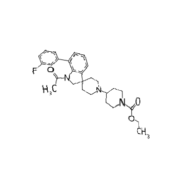 CCOC(=O)N1CCC(N2CCC3(CC2)CN(C(C)=O)c2c(-c4cccc(F)c4)cccc23)CC1